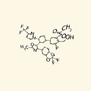 Cc1nc(-c2ccc3c(c2)OC(F)(F)O3)c(-c2cc(-c3cc(F)c(CO)c(S(C)(=O)=O)c3)ccc2-n2ccc(C(F)(F)F)n2)o1